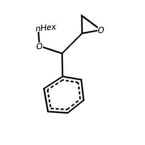 CCCCCCOC(c1ccccc1)C1CO1